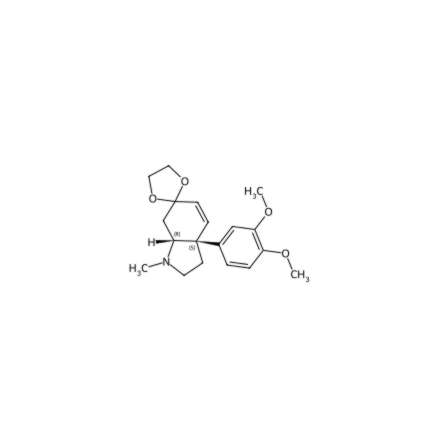 COc1ccc([C@]23C=CC4(C[C@H]2N(C)CC3)OCCO4)cc1OC